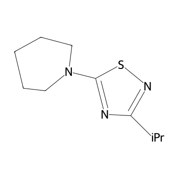 CC(C)c1nsc(N2CCCCC2)n1